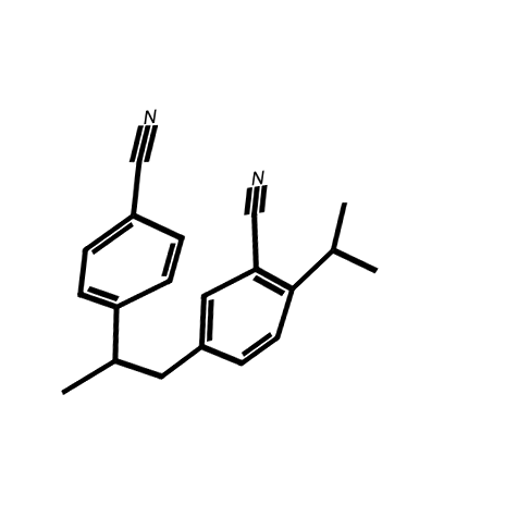 CC(C)c1ccc(CC(C)c2ccc(C#N)cc2)cc1C#N